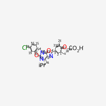 Cc1cc(-c2nc3c(CC(C)C)nc(Oc4cccc(Cl)c4)nc3o2)cc(C)c1OCC(=O)O